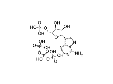 Nc1ncnc2c1ncn2[C@@H]1O[C@H](COP(=O)(O)O)[C@@H](O)[C@H]1O.O=P(O)(O)OP(=O)(O)OP(=O)(O)O